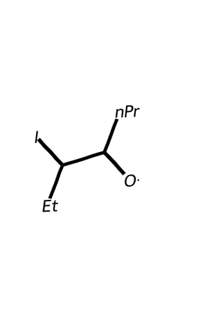 CCCC([O])C(I)CC